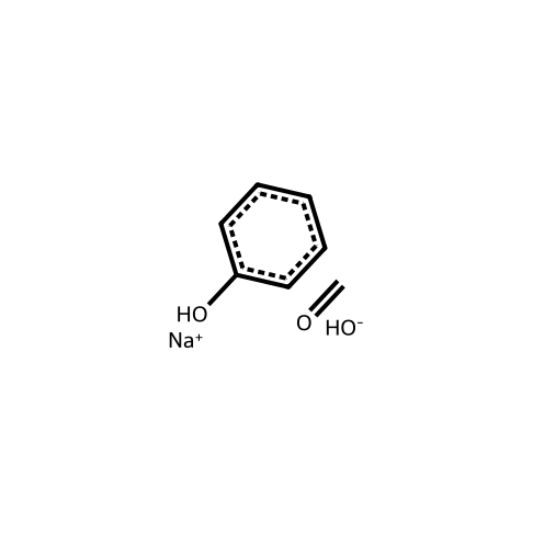 C=O.Oc1ccccc1.[Na+].[OH-]